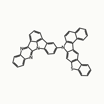 c1ccc2c(c1)ccc1c2c2cc3c(cc2n1-c1ccc2c(c1)c1cccc4c5nc6ccccc6nc5n2c14)sc1ccccc13